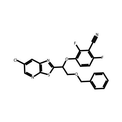 N#Cc1c(F)ccc(OC(COCc2ccccc2)c2nc3cc(Cl)cnc3s2)c1F